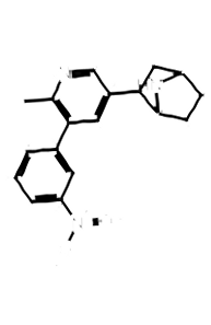 Cc1ncc(C2CC3CCC2N3)cc1-c1cccc([N+](=O)[O-])c1